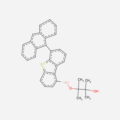 CC(C)(O)C(C)(C)OBc1cccc2sc3c(-c4c5ccccc5cc5ccccc45)cccc3c12